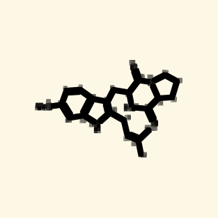 COc1ccc2c(CC3NC(=O)C4CCCN4C3=O)c(CC=C(C)C)[nH]c2c1